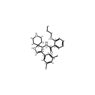 CCCOc1ccccc1C(=O)NN1C(c2cc(C)cc(C)c2)=NOC12CCOCC2